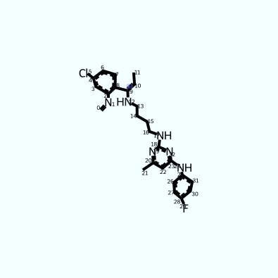 C=Nc1cc(Cl)ccc1/C(=C\C)NCCCCNc1nc(C)cc(Nc2ccc(F)cc2)n1